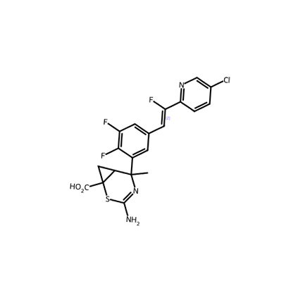 CC1(c2cc(/C=C(\F)c3ccc(Cl)cn3)cc(F)c2F)N=C(N)SC2(C(=O)O)CC21